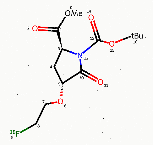 COC(=O)[C@@H]1C[C@@H](OCC[18F])C(=O)N1C(=O)OC(C)(C)C